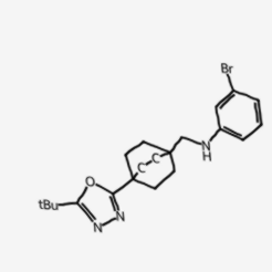 CC(C)(C)c1nnc(C23CCC(CNc4cccc(Br)c4)(CC2)CC3)o1